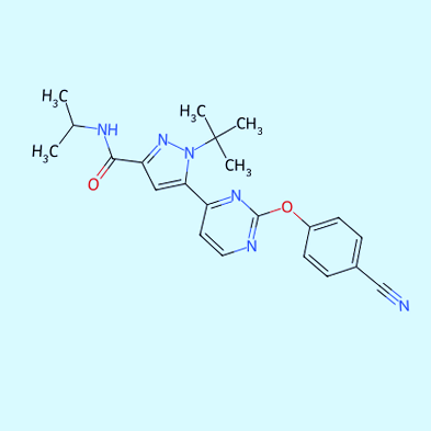 CC(C)NC(=O)c1cc(-c2ccnc(Oc3ccc(C#N)cc3)n2)n(C(C)(C)C)n1